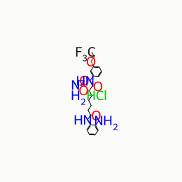 Cl.NC(=O)OC(CCCCC(=O)Nc1ccccc1N)C(=O)Nc1cccc(OCC(F)(F)F)c1